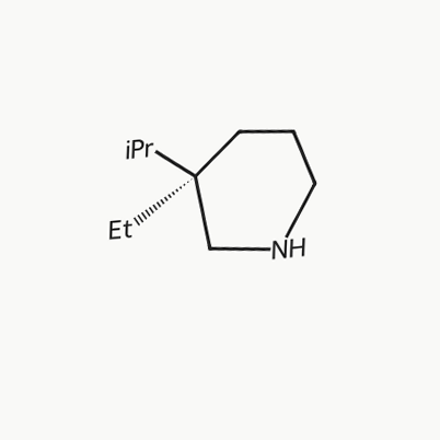 CC[C@]1(C(C)C)CCCNC1